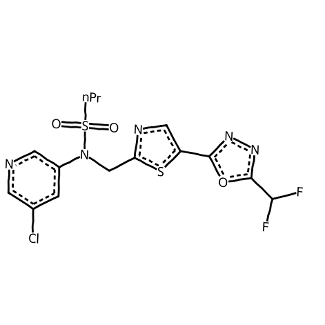 CCCS(=O)(=O)N(Cc1ncc(-c2nnc(C(F)F)o2)s1)c1cncc(Cl)c1